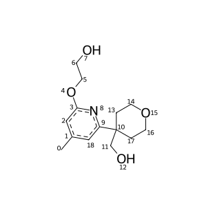 Cc1cc(OCCO)nc(C2(CO)CCOCC2)c1